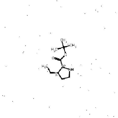 CC[C@@H]1CCN[C@@H]1C(=O)OC(C)(C)C